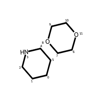 C1CCNCC1.C1COCCO1